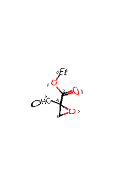 CCOC(=O)C1(C=O)CO1